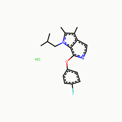 Cc1c(C)n(CC(C)C)c2c(Oc3ccc(F)cc3)nccc12.Cl